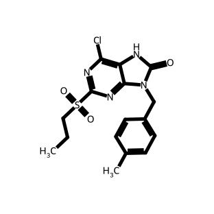 CCCS(=O)(=O)c1nc(Cl)c2[nH]c(=O)n(Cc3ccc(C)cc3)c2n1